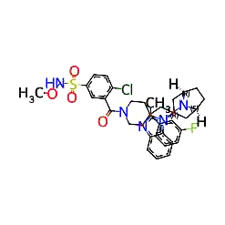 CONS(=O)(=O)c1ccc(Cl)c(C(=O)N2CCC(CCN3[C@@H]4CC[C@H]3C[C@@H](n3c(C)nc5ccccc53)C4)(c3cccc(F)c3)CC2)c1